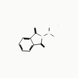 CC(C)(C)N(C(=O)O)N1C(=O)c2ccccc2C1=O